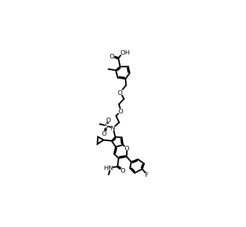 CNC(=O)c1cc2c(C3CC3)c(N(CCOCCOCc3ccc(C(=O)O)c(C)c3)S(C)(=O)=O)cc-2oc1-c1ccc(F)cc1